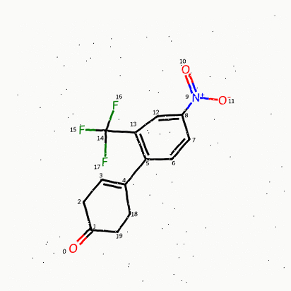 O=C1CC=C(c2ccc([N+](=O)[O-])cc2C(F)(F)F)CC1